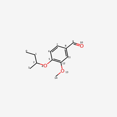 CCC(C)Oc1ccc(C=O)cc1OC